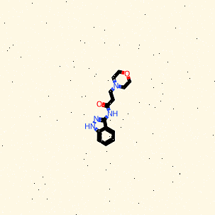 O=C(CCN1CCOCC1)Nc1n[nH]c2ccccc12